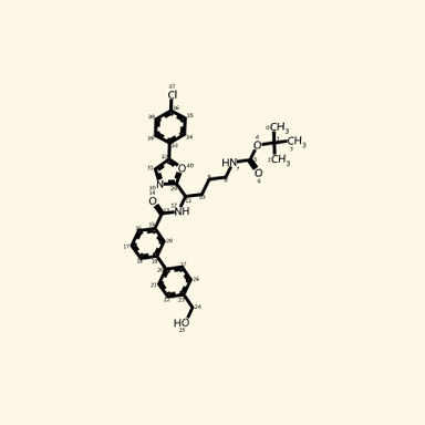 CC(C)(C)OC(=O)NCCCC(NC(=O)c1cccc(-c2ccc(CO)cc2)c1)c1ncc(-c2ccc(Cl)cc2)o1